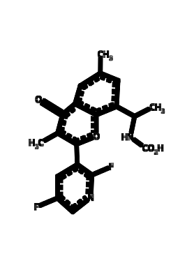 Cc1cc(C(C)NC(=O)O)c2oc(-c3cc(F)cnc3F)c(C)c(=O)c2c1